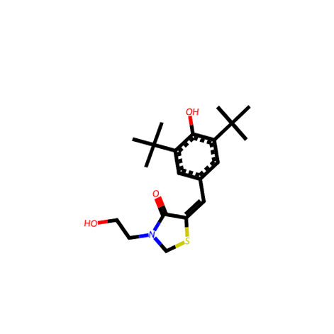 CC(C)(C)c1cc(C=C2SCN(CCO)C2=O)cc(C(C)(C)C)c1O